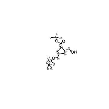 CC(C)(C)OC(=O)N1CC(CO[Si](C)(C)C(C)(C)C)C[C@H]1CO